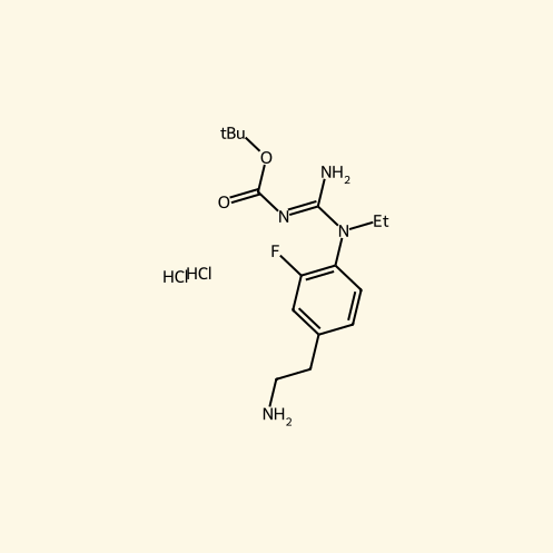 CCN(C(N)=NC(=O)OC(C)(C)C)c1ccc(CCN)cc1F.Cl.Cl